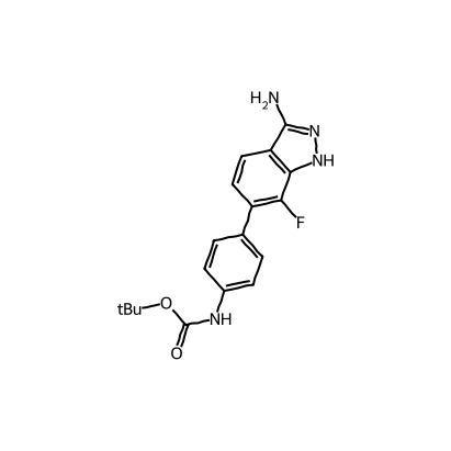 CC(C)(C)OC(=O)Nc1ccc(-c2ccc3c(N)n[nH]c3c2F)cc1